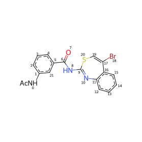 CC(=O)Nc1cccc(C(=O)NC2=Nc3ccccc3C(Br)=CS2)c1